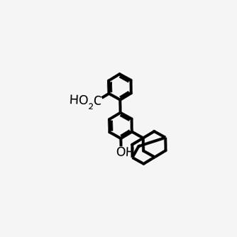 O=C(O)c1ccccc1-c1ccc(O)c(C23CC4CC(CC(C4)C2)C3)c1